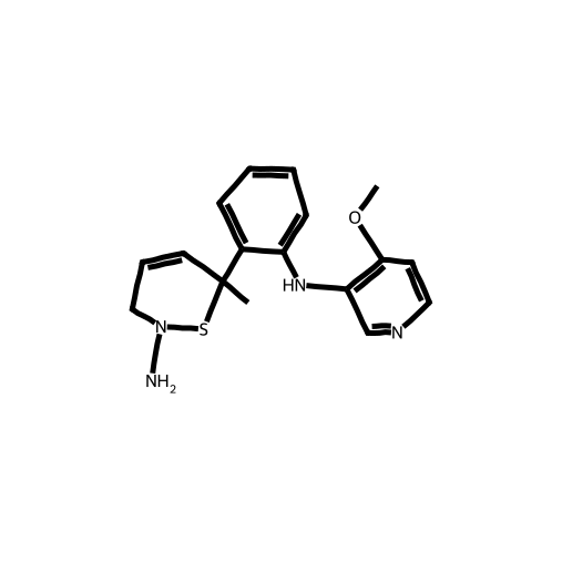 COc1ccncc1Nc1ccccc1C1(C)C=CCN(N)S1